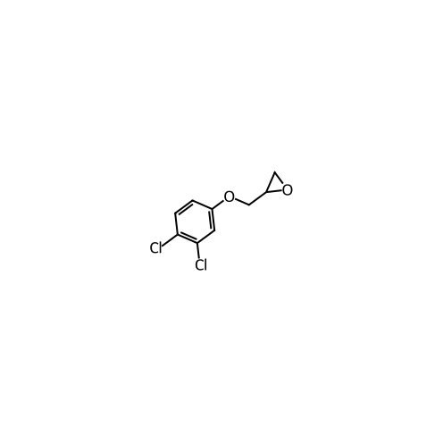 Clc1ccc(OCC2CO2)cc1Cl